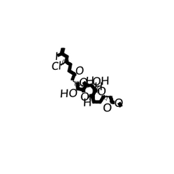 C=C(I)C[C@H](Cl)CCC(=O)C[C@@H]1O[C@@H]2C(O[C@H]3CC[C@H](CC(=O)OC)O[C@@H]3C2O)[C@H]1O